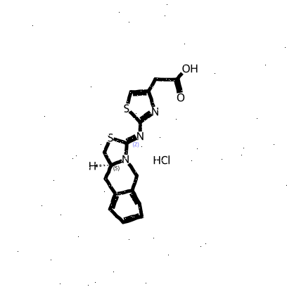 Cl.O=C(O)Cc1csc(/N=C2\SC[C@@H]3Cc4ccccc4CN23)n1